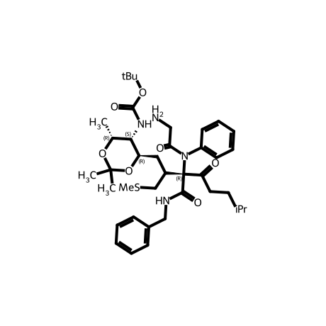 CSCC(C[C@H]1OC(C)(C)O[C@H](C)[C@@H]1NC(=O)OC(C)(C)C)[C@@](C(=O)CCC(C)C)(C(=O)NCc1ccccc1)N(C(=O)CN)c1ccccc1